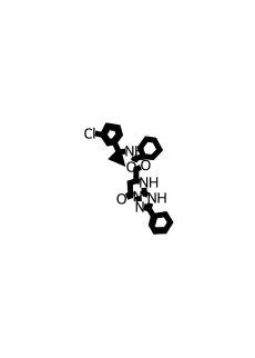 O=C1CC(COC2(C(=O)NC3(c4cccc(Cl)c4)CC3)CCCCC2)NC2NC(C3=CC=CCC3)=NN12